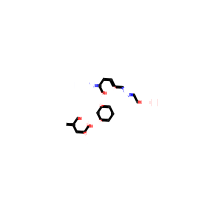 CC1COC(OC2CCCC(OC3OC(CNCCO)=CCC3N)C2)C(O)C1